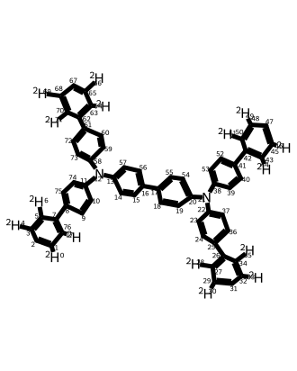 [2H]c1cc([2H])c([2H])c(-c2ccc(N(c3ccc(-c4ccc(N(c5ccc(-c6c([2H])c([2H])cc([2H])c6[2H])cc5)c5ccc(-c6c([2H])c([2H])cc([2H])c6[2H])cc5)cc4)cc3)c3ccc(-c4c([2H])c([2H])cc([2H])c4[2H])cc3)cc2)c1[2H]